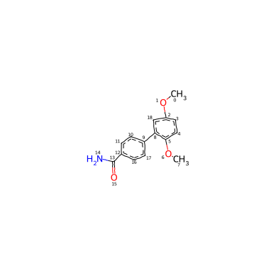 COc1ccc(OC)c(-c2ccc(C(N)=O)cc2)c1